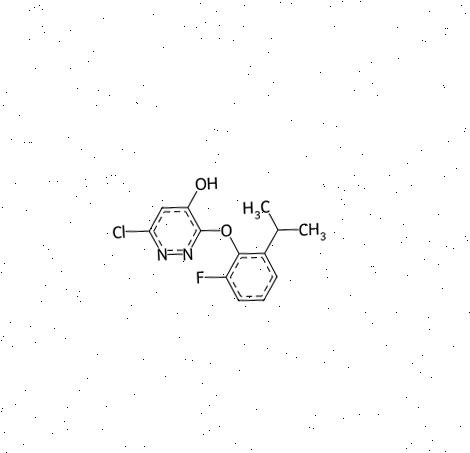 CC(C)c1cccc(F)c1Oc1nnc(Cl)cc1O